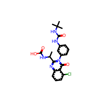 CC(NC(=O)O)c1nc2cccc(Cl)c2c(=O)n1-c1cccc(NC(=O)NC(C)(C)C)c1